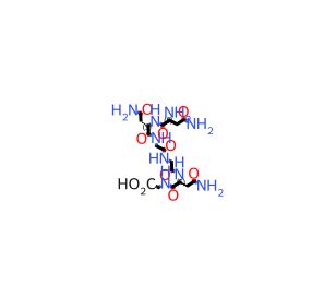 NC(=O)C[C@H](NC(=O)CNC(=O)CNC(=O)[C@H](CC(N)=O)NC(=O)[C@@H](N)CC(N)=O)C(=O)NCC(=O)O